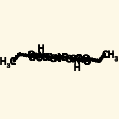 CCCCCC/C=C\CCCCCCCC(=O)Oc1ccc(CC(=O)NCCOCCOCCOCCN2CCN(CCOCCOCCOCCNC(=O)Cc3ccc(OC(=O)CCCCCCC/C=C\CCCCCC)cc3)CC2)cc1